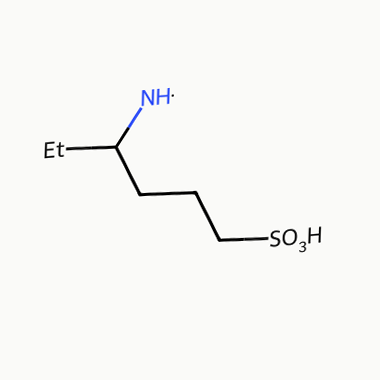 CCC([NH])CCCS(=O)(=O)O